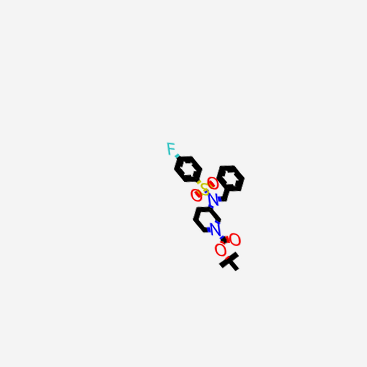 CC(C)(C)OC(=O)N1CCCC(N(Cc2ccccc2)S(=O)(=O)c2ccc(F)cc2)C1